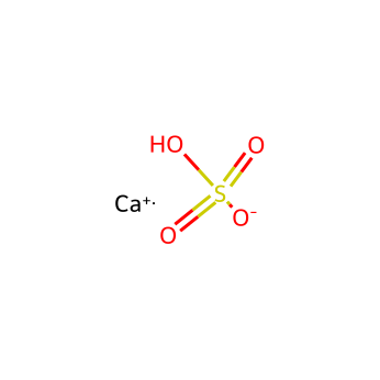 O=S(=O)([O-])O.[Ca+]